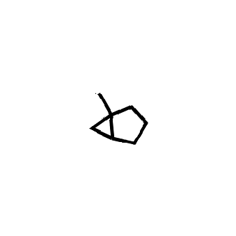 [CH2]C12CCCC1C2